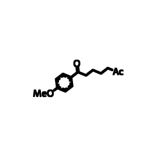 COc1ccc(C(=O)CCCCC(C)=O)cc1